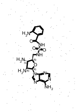 Nc1ccccc1C(=O)NS(=O)(=O)NC[C@H]1O[C@@H](n2cnc3c(N)ncnc32)[C@H](N)[C@@H]1N